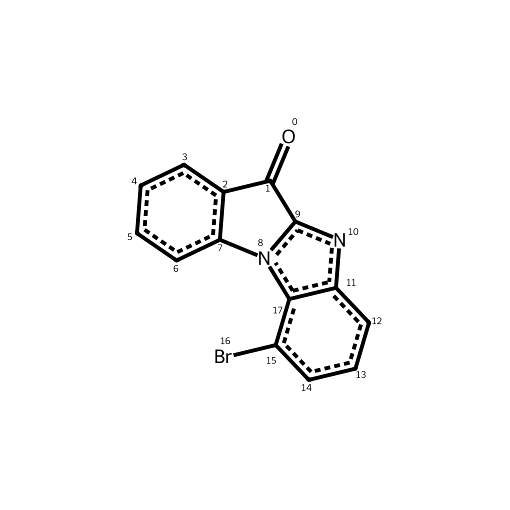 O=C1c2ccccc2-n2c1nc1cccc(Br)c12